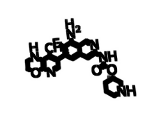 Cc1c(-c2cc3cc(NC(=O)O[C@H]4CCCNC4)ncc3c(N)c2F)cnc2c1NCCO2